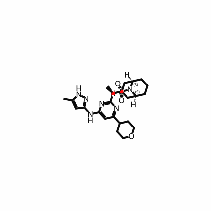 CCS(=O)(=O)N1[C@@H]2CCC[C@H]1C[C@@H](N(C)c1nc(Nc3cc(C)[nH]n3)cc(C3CCOCC3)n1)C2